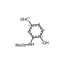 CONc1cc(C=O)ccc1O